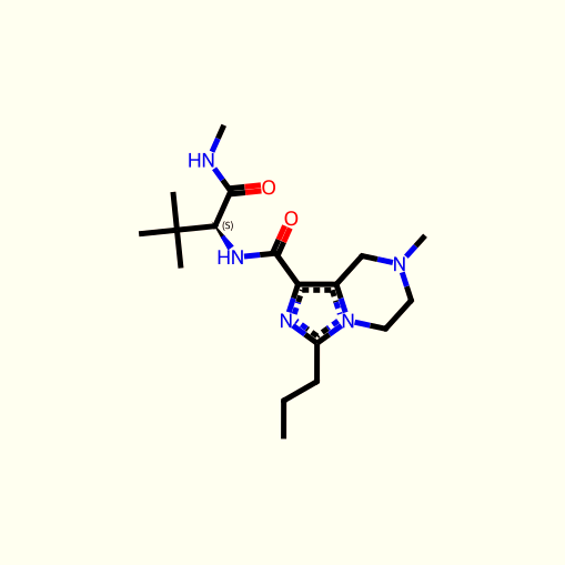 CCCc1nc(C(=O)N[C@H](C(=O)NC)C(C)(C)C)c2n1CCN(C)C2